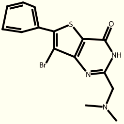 CN(C)Cc1nc2c(Br)c(-c3ccccc3)sc2c(=O)[nH]1